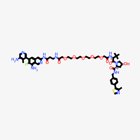 Cc1ncsc1-c1ccc(CNC(=O)[C@@H]2C[C@@H](O)CN2C(=O)[C@@H](NC(=O)COCCOCCOCCOCCOCC(=O)NCCC(=O)Nc2cc3cc(-c4cncc(N)c4C)c(F)c(N)c3cn2)C(C)(C)C)cc1